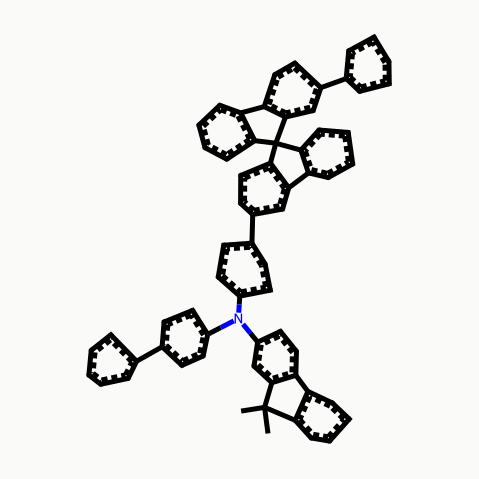 CC1(C)c2ccccc2-c2ccc(N(c3ccc(-c4ccccc4)cc3)c3ccc(-c4ccc5c(c4)-c4ccccc4C54c5ccccc5-c5ccc(-c6ccccc6)cc54)cc3)cc21